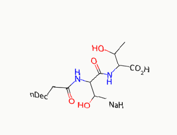 CCCCCCCCCCCC(=O)NC(C(=O)NC(C(=O)O)C(C)O)C(C)O.[NaH]